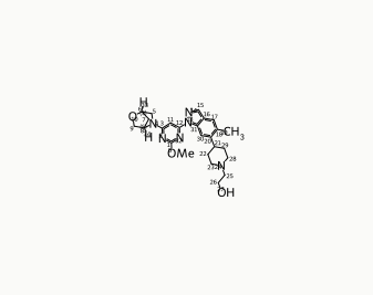 COc1nc(N2C[C@@H]3C[C@H]2CO3)cc(-n2ncc3cc(C)c(C4CCN(CCO)CC4)cc32)n1